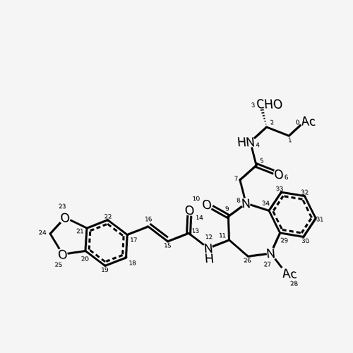 CC(=O)C[C@@H](C=O)NC(=O)CN1C(=O)C(NC(=O)/C=C/c2ccc3c(c2)OCO3)CN(C(C)=O)c2ccccc21